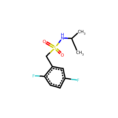 CC(C)NS(=O)(=O)Cc1cc(F)ccc1F